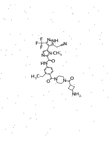 CCc1cc(NC(=O)c2ncc(-c3c(C(F)(F)F)n[nH]c3CC#N)n2C)ccc1C(=O)N1CCN(C(=O)C2CC(N)C2)CC1